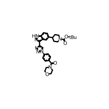 CC(C)(C)OC(=O)N1CCC(c2ccc3[nH]nc(-c4cn(-c5ccc(C(=O)N6CCOCC6)cc5)nn4)c3c2)CC1